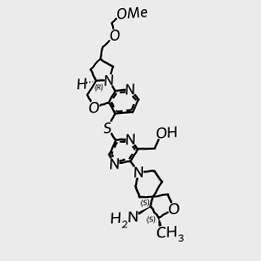 COCOCC1C[C@@H]2COc3c(Sc4cnc(N5CCC6(CC5)CO[C@@H](C)[C@H]6N)c(CO)n4)ccnc3N2C1